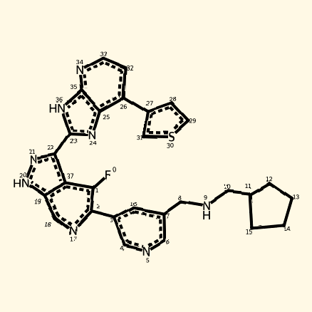 Fc1c(-c2cncc(CNCC3CCCC3)c2)ncc2[nH]nc(-c3nc4c(-c5ccsc5)ccnc4[nH]3)c12